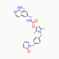 Cc1cc(OC(=O)NCc2ccc3c(N)nccc3c2)c(C)n1Cc1ccc(Cn2ccccc2=O)cc1